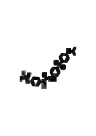 CC(C)=Nc1ccc(S(=O)(=O)c2ccc(NC(=O)Nc3ccc(SC(F)(F)F)cc3)cc2)cc1